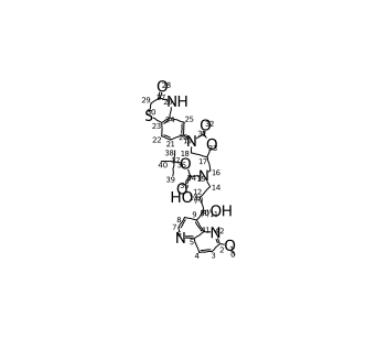 COc1ccc2nccc([C@@H](O)[C@H](O)CN(CC3CN(c4ccc5c(c4)NC(=O)CS5)C(=O)O3)C(=O)OC(C)(C)C)c2n1